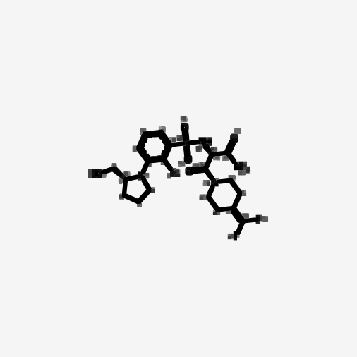 CCc1c(N2CCC[C@H]2CO)cccc1S(=O)(=O)N[C@@H](C(N)=O)C(=O)N1CCC(=C(F)F)CC1